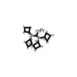 CCCC(P(C1CCC1)C1CCC1)P(C1CCC1)C1CCC1